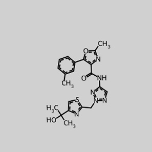 Cc1cccc(-c2oc(C)nc2C(=O)Nc2cnn(Cc3nc(C(C)(C)O)cs3)n2)c1